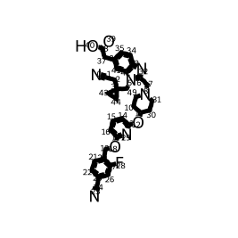 N#CCC1(Cn2c(CN3CCC(Oc4cccc(OCc5ccc(C#N)cc5F)n4)CC3)nc3ccc(CC(=O)O)cc32)CC1